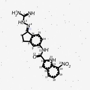 N=C(N)N/N=C1\CCc2cc(NC(=O)c3cc4cccc([N+](=O)[O-])c4[nH]3)ccc21